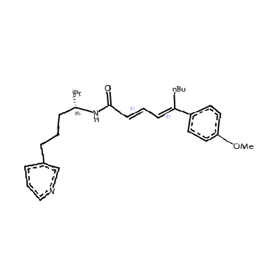 CCCC/C(=C\C=C\C(=O)N[C@H](CCCc1cccnc1)C(C)C)c1ccc(OC)cc1